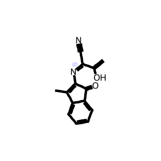 C=C(O)/C(C#N)=N\C1=C(C)c2ccccc2C1=O